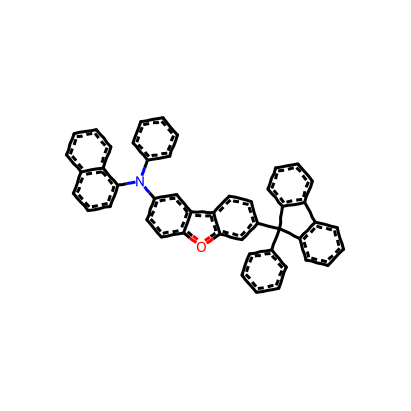 c1ccc(N(c2ccc3oc4cc(C5(c6ccccc6)c6ccccc6-c6ccccc65)ccc4c3c2)c2cccc3ccccc23)cc1